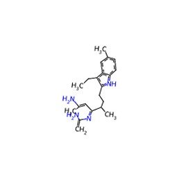 C=C(N)/N=C(\C=C(/C)N)C(C)CCc1[nH]c2ccc(C)cc2c1CC